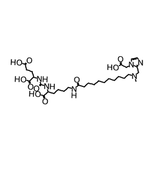 CN(CCCCCCCCCCC(=O)NCCCCC(NC(=O)NC(CCC(=O)O)C(=O)O)C(=O)O)Cc1nccn1CC(=O)O